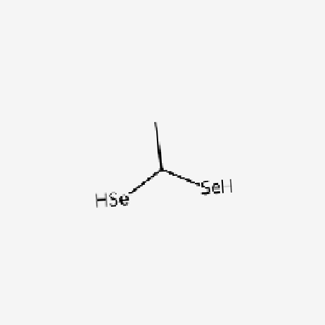 CC([SeH])[SeH]